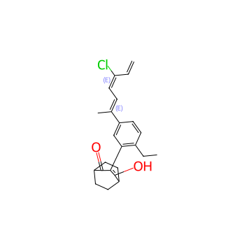 C=C/C(Cl)=C\C=C(/C)c1ccc(CC)c(C2=C(O)C3CCC(CC3)C2=O)c1